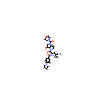 CC(C)CC(NC(=O)c1ccc(N2CCCC2)cc1)C(=O)N1CCC2C1C(=O)CN2C(=O)N1CCOCC1